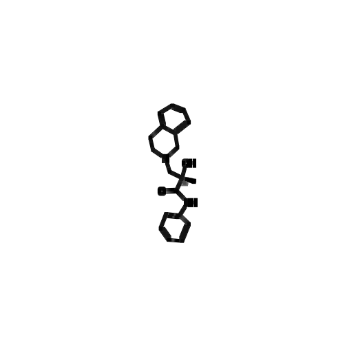 C[C@](O)(CN1CCc2ccccc2C1)C(=O)Nc1ccccc1